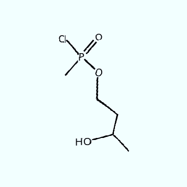 CC(O)CCOP(C)(=O)Cl